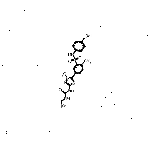 Cc1ccc(-c2sc(NC(=O)NCC(C)C)nc2C)cc1S(=O)(=O)Nc1ccc(O)cc1